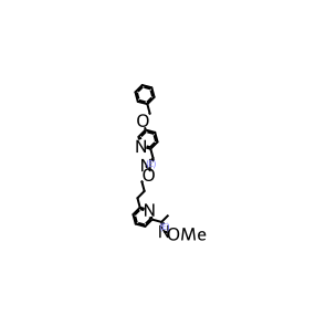 CO/N=C(\C)c1cccc(CCCO/N=C/c2ccc(OCc3ccccc3)cn2)n1